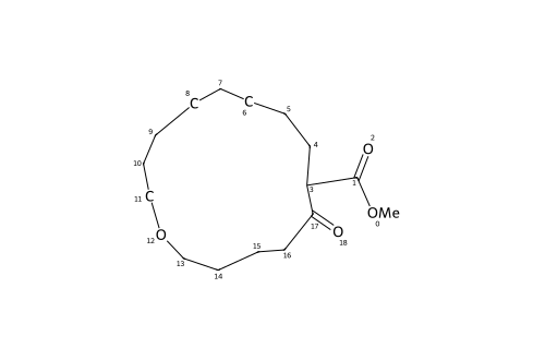 COC(=O)C1CCCCCCCCOCCCCC1=O